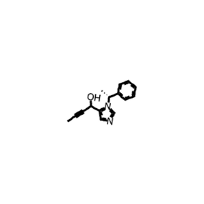 CC#CC(O)c1cncn1[C@H](C)c1ccccc1